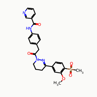 COc1cc(C2=NN(C(=O)Cc3ccc(NC(=O)c4cccnc4)cc3)CCC2)ccc1S(C)(=O)=O